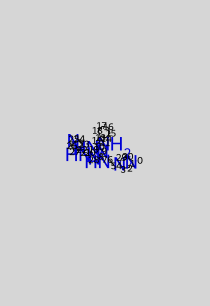 CN1CCN(CCNC2=NC(N)(CC3CCCCC3)NC(Nc3ccncc3)=N2)CC1